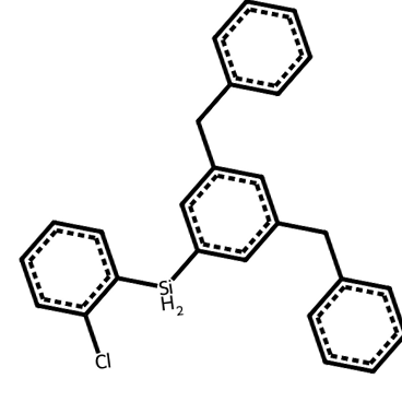 Clc1ccccc1[SiH2]c1cc(Cc2ccccc2)cc(Cc2ccccc2)c1